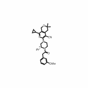 COc1cccc(CC(=O)N2CCN(c3nc(C4CC4)c4c(c3C#N)CC(C)(C)OC4)C[C@H]2C(C)C)c1